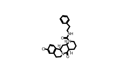 O=C1[C@@H]2CCCN(C(=O)NCCc3ccccc3)[C@@H]2C[C@@H]2c3ccc(Cl)cc3CCN12